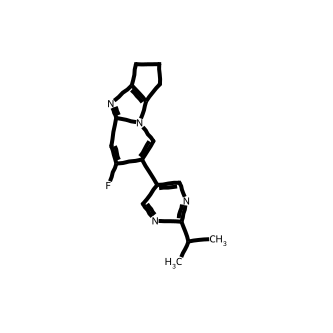 CC(C)c1ncc(-c2cn3c4c(nc3cc2F)CCC4)cn1